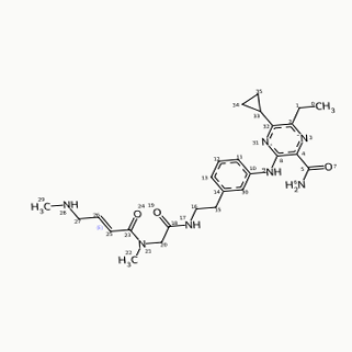 CCc1nc(C(N)=O)c(Nc2cccc(CCNC(=O)CN(C)C(=O)/C=C/CNC)c2)nc1C1CC1